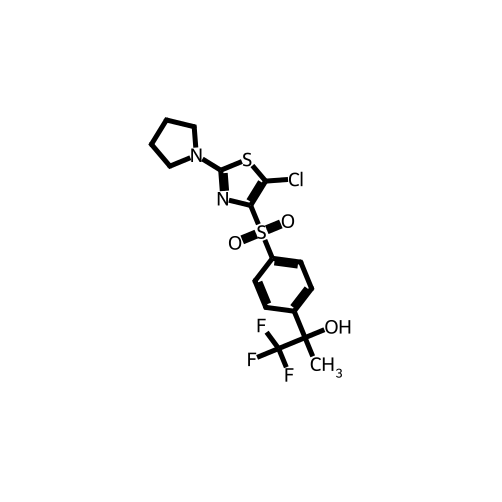 CC(O)(c1ccc(S(=O)(=O)c2nc(N3CCCC3)sc2Cl)cc1)C(F)(F)F